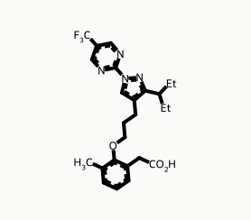 CCC(CC)c1nn(-c2ncc(C(F)(F)F)cn2)cc1CCCOc1c(C)cccc1CC(=O)O